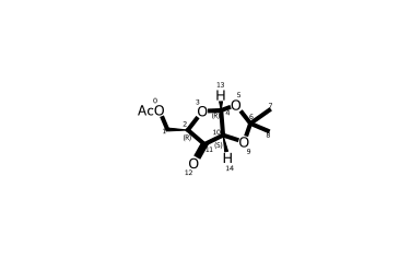 CC(=O)OC[C@H]1O[C@@H]2OC(C)(C)O[C@@H]2C1=O